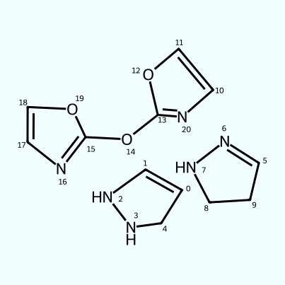 C1=CNNC1.C1=NNCC1.c1coc(Oc2ncco2)n1